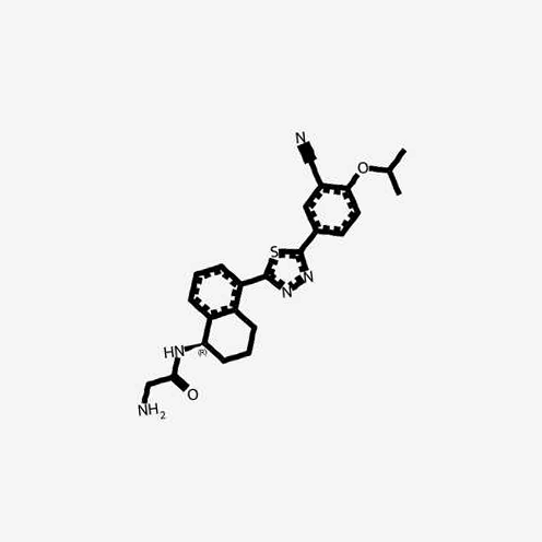 CC(C)Oc1ccc(-c2nnc(-c3cccc4c3CCC[C@H]4NC(=O)CN)s2)cc1C#N